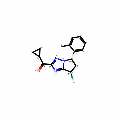 Cc1ccccc1[C@@H]1C[C@@H](F)c2nc(C(=O)C3CC3)nn21